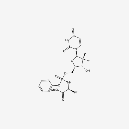 COC(=O)[C@@H](NP(=O)(OC[C@H]1O[C@@H](n2ccc(=O)[nH]c2=O)[C@](C)(F)[C@@H]1O)Oc1ccccc1)C(C)C